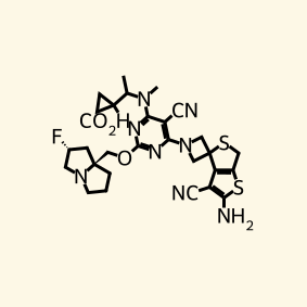 CC(N(C)c1nc(OC[C@@]23CCCN2C[C@H](F)C3)nc(N2CC3(C2)SCc2sc(N)c(C#N)c23)c1C#N)C1(C(=O)O)CC1